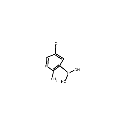 Cc1ncc(Cl)cc1B(O)O